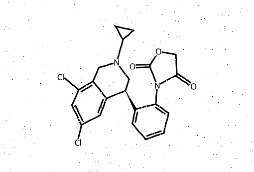 O=C1COC(=O)N1c1ccccc1[C@@H]1CN(C2CC2)Cc2c(Cl)cc(Cl)cc21